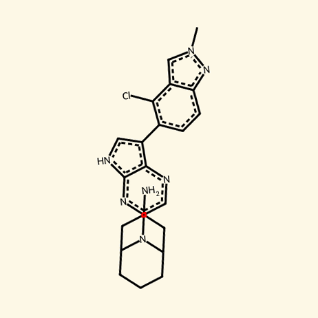 Cn1cc2c(Cl)c(-c3c[nH]c4nc(N5C6CCCC5CC(N)C6)cnc34)ccc2n1